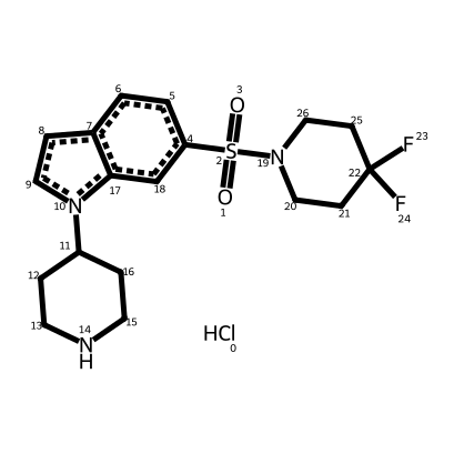 Cl.O=S(=O)(c1ccc2ccn(C3CCNCC3)c2c1)N1CCC(F)(F)CC1